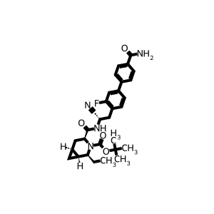 CC[C@H]1[C@H]2C[C@H]2C[C@@H](C(=O)N[C@H](C#N)Cc2ccc(-c3ccc(C(N)=O)cc3)cc2F)N1C(=O)OC(C)(C)C